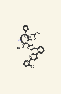 O=C(O)C[C@@H]1C(=O)N(c2nc(-c3ccccc3-c3ccc(N4CCCC4=O)nc3)cs2)[C@@H](CO)/C=C\C[C@@H]1C1CCCC1